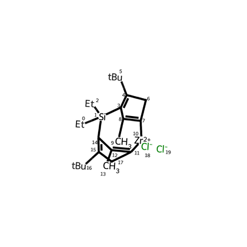 CC[Si]1(CC)C2=C(C(C)(C)C)C[C](=C2C)[Zr+2][C]2=C(C)C1=C(C(C)(C)C)C2.[Cl-].[Cl-]